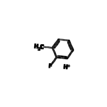 Cc1ccccc1F.[H+]